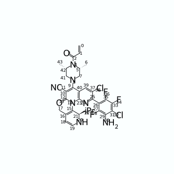 C=CC(=O)N1[C@H](C)CN(c2c(C#N)c(=O)n(C3=C(C)C=CN[C@@H]3C(C)C)c3nc(-c4c(F)c(N)c(Cl)c(F)c4F)c(Cl)cc23)C[C@@H]1C